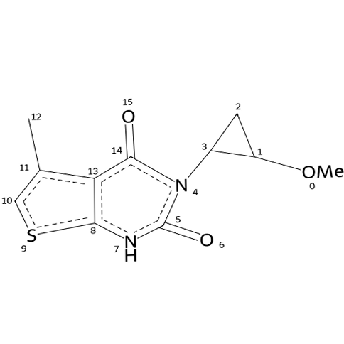 COC1CC1n1c(=O)[nH]c2scc(C)c2c1=O